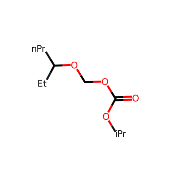 CCCC(CC)OCOC(=O)OC(C)C